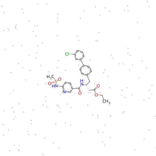 CCOC(=O)C[C@@H](Cc1ccc(-c2cccc(Cl)c2)cc1)NC(=O)c1ccc(NS(C)(=O)=O)nc1